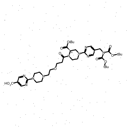 CC(C)COC(=O)[C@H]1CN(c2ncc(CN(C(=O)OC(C)(C)C)C(=O)OC(C)(C)C)cn2)CCN1C(=O)CCOCCN1CCN(c2ncc(C(=O)O)cn2)CC1